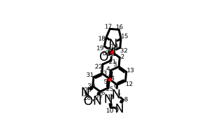 O=C(Cc1ccc(-n2cncn2)cc1)N1C2CCC1CN(CCc1ccc3nonc3c1)C2